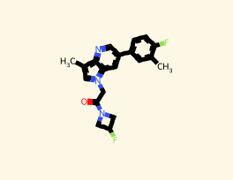 Cc1cc(-c2cnc3c(C)cn(CC(=O)N4CC(F)C4)c3c2)ccc1F